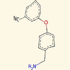 N#Cc1cccc(Oc2ccc(CN)cc2)c1